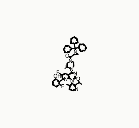 Cc1ccnc(C(C)C)c1-n1c(=O)nc(N2CCN(C(=O)C3CN3C(c3ccccc3)(c3ccccc3)c3ccccc3)C[C@@H]2C)c2cc(F)c(-c3c(O)cccc3F)nc21